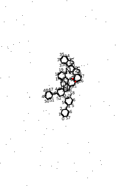 C1=CCC(c2ccc(C[C@@H](C3=CC=CC4C5C(=CC=CC5n5c6c7ccccc7sc6c6sc7ccccc7c65)O[C@@H]34)C3C=CC(c4ccccc4)=CC3)cc2)C=C1